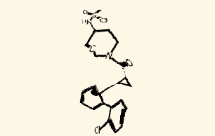 CS(=O)(=O)N[C@@H]1CCCN(C(=O)[C@@H]2C[C@H]2c2ccccc2-c2ccccc2Cl)CC1